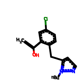 C=C(O)c1cc(Cl)ccc1Cc1ccnn1CCCC